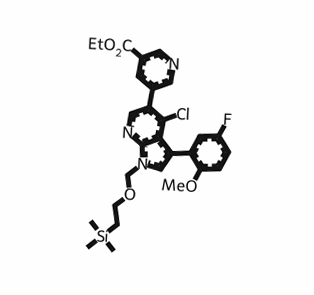 CCOC(=O)c1cncc(-c2cnc3c(c(-c4cc(F)ccc4OC)cn3COCC[Si](C)(C)C)c2Cl)c1